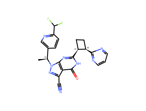 C[C@@H](c1ccc(C(F)F)nc1)n1nc(C#N)c2c(=O)[nH]c([C@H]3CC[C@H]3c3ncccn3)nc21